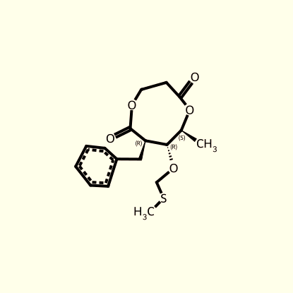 CSCO[C@H]1[C@H](C)OC(=O)CCOC(=O)[C@@H]1Cc1ccccc1